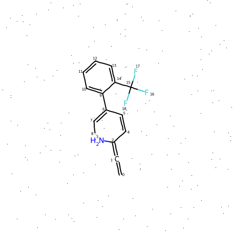 C=C=C(N)/C=C\C(=C/C)c1ccccc1C(F)(F)F